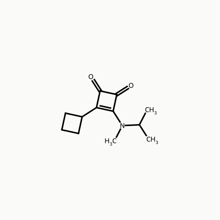 CC(C)N(C)c1c(C2CCC2)c(=O)c1=O